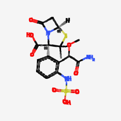 COC(C(N)=O)c1c(NS(=O)(=O)O)cccc1[C@]1(C(=O)O)N2C(=O)C[C@H]2SC1(C)C